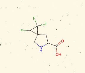 O=C(O)C1CC2(CN1)C(F)C2(F)F